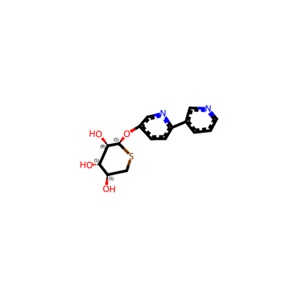 O[C@@H]1[C@@H](O)[C@@H](Oc2ccc(-c3cccnc3)nc2)SC[C@H]1O